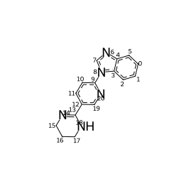 c1ccc2c(c1)ncn2-c1ccc(C2=NCCCN2)cn1